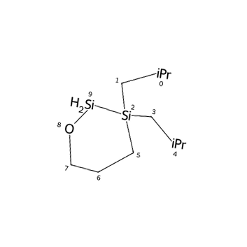 CC(C)C[Si]1(CC(C)C)CCCO[SiH2]1